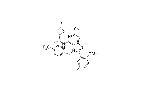 COc1ccc(C)cc1-c1nc2nc(C#N)nc(NC(C)C3CC(C)C3)c2n1Cc1ccc(C(F)(F)F)cc1